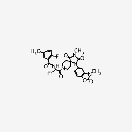 Cc1ccc(F)c(C(=O)N[C@@H](C(=O)N2CCC3(CC2)C(=O)N(C)C(=O)N3c2ccc3oc(=O)n(C)c3c2)C(C)C)c1